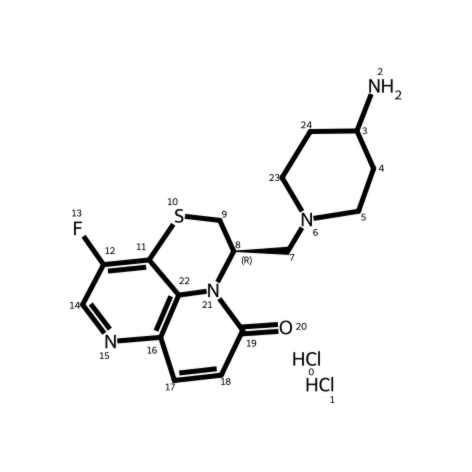 Cl.Cl.NC1CCN(C[C@@H]2CSc3c(F)cnc4ccc(=O)n2c34)CC1